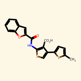 Cc1ccc(-c2csc(NC(=O)c3cc4ccccc4o3)c2C(=O)O)s1